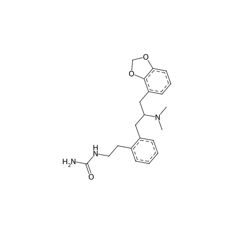 CN(C)C(Cc1ccccc1CCNC(N)=O)Cc1cccc2c1OCO2